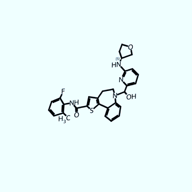 Cc1cccc(F)c1NC(=O)c1cc2c(s1)-c1ccccc1N(C(O)c1cccc(N[C@H]3CCOC3)n1)CC2